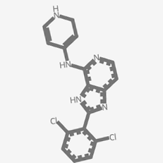 Clc1cccc(Cl)c1-c1nc2ccnc(NC3=CCNC=C3)c2[nH]1